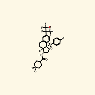 O=C(N[C@@H]1CC[C@@]2(S(=O)(=O)c3ccc(F)cc3)c3ccc(C(F)(C(F)(F)F)C(F)(F)F)cc3CC[C@@H]12)C1CCS(=O)(=O)CC1